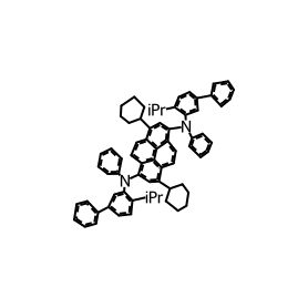 CC(C)c1ccc(-c2ccccc2)cc1N(c1ccccc1)c1cc(C2CCCCC2)c2ccc3c(N(c4ccccc4)c4cc(-c5ccccc5)ccc4C(C)C)cc(C4CCCCC4)c4ccc1c2c43